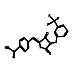 O=C(O)c1ccc(/C=C2\SC(=S)N(Cc3cccc(C(F)(F)F)c3)C2=O)cc1